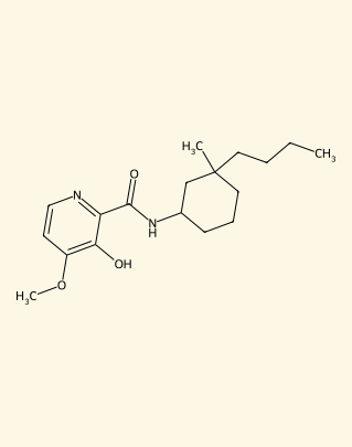 CCCCC1(C)CCCC(NC(=O)c2nccc(OC)c2O)C1